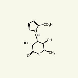 C[C@H]1OC(=O)[C@H](O)[C@@H](O)[C@H]1O.O=C(O)c1ccco1